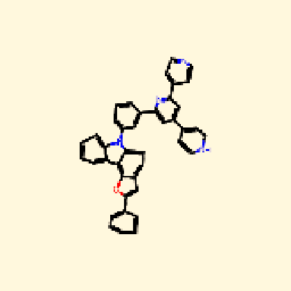 C1=CC(c2cc(-c3ccncc3)nc(-c3cccc(-n4c5ccccc5c5c6oc(-c7ccccc7)cc6ccc54)c3)c2)=CCN1